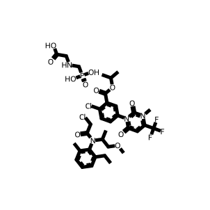 CC(C)OC(=O)c1cc(-n2c(=O)cc(C(F)(F)F)n(C)c2=O)ccc1Cl.CCc1cccc(C)c1N(C(=O)CCl)C(C)COC.O=C(O)CNCP(=O)(O)O